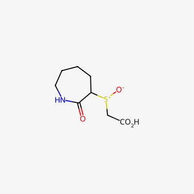 O=C(O)C[S+]([O-])C1CCCCNC1=O